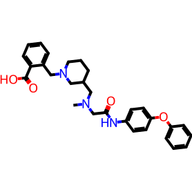 CN(CC(=O)Nc1ccc(Oc2ccccc2)cc1)CC1CCCN(Cc2ccccc2C(=O)O)C1